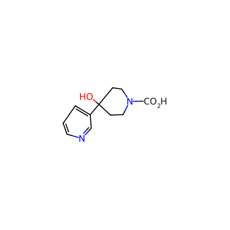 O=C(O)N1CCC(O)(c2cccnc2)CC1